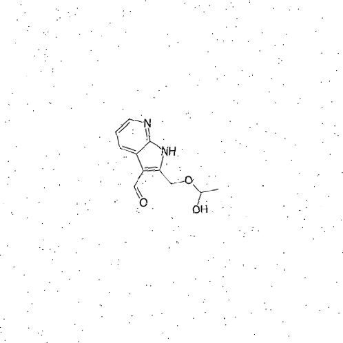 CC(O)OCc1[nH]c2ncccc2c1C=O